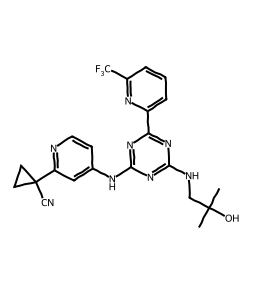 CC(C)(O)CNc1nc(Nc2ccnc(C3(C#N)CC3)c2)nc(-c2cccc(C(F)(F)F)n2)n1